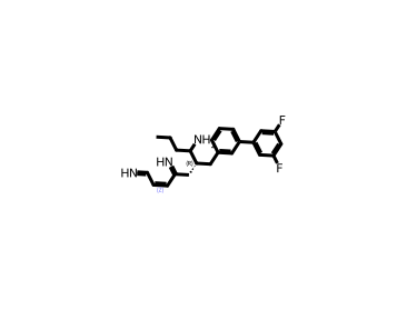 CCCC(N)[C@@H](CC(=N)/C=C\C=N)Cc1cccc(-c2cc(F)cc(F)c2)c1